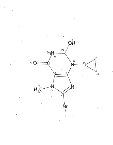 Cn1c(Br)nc2c1C(=O)NC(O)N2C1CC1